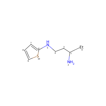 CCC(N)CCNc1cccs1